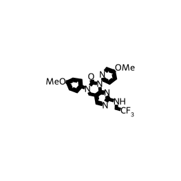 COc1ccc(N2Cc3cnc(NCC(F)(F)F)nc3N(c3ccc(OC)cn3)C2=O)cc1